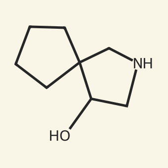 OC1CNCC12CCCC2